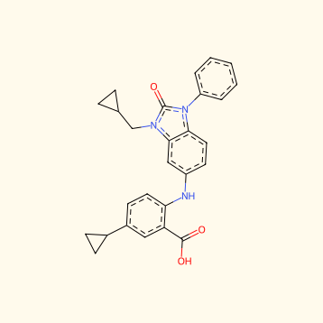 O=C(O)c1cc(C2CC2)ccc1Nc1ccc2c(c1)n(CC1CC1)c(=O)n2-c1ccccc1